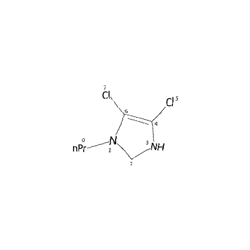 [CH2]CCN1CNC(Cl)=C1Cl